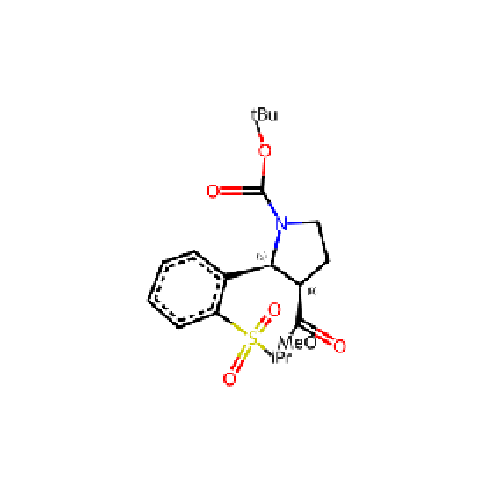 COC(=O)[C@@H]1CCN(C(=O)OC(C)(C)C)[C@@H]1c1ccccc1S(=O)(=O)C(C)C